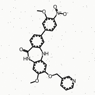 COc1cc2c(cc1OCc1cccnc1)Nc1cc(-c3ccc([N+](=O)[O-])c(OC)c3)ccc1C(=O)N2